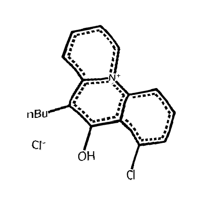 CCCCc1c(O)c2c(Cl)cccc2[n+]2ccccc12.[Cl-]